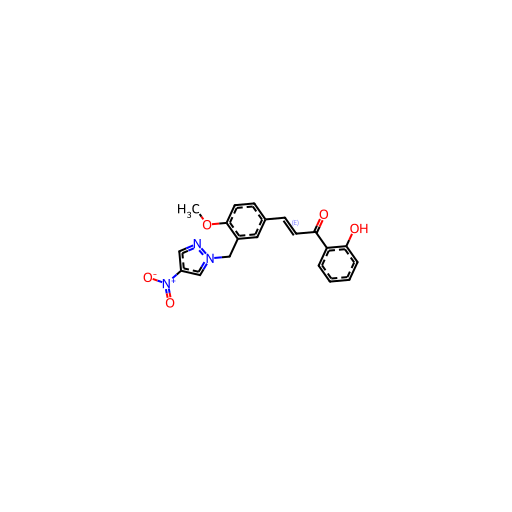 COc1ccc(/C=C/C(=O)c2ccccc2O)cc1Cn1cc([N+](=O)[O-])cn1